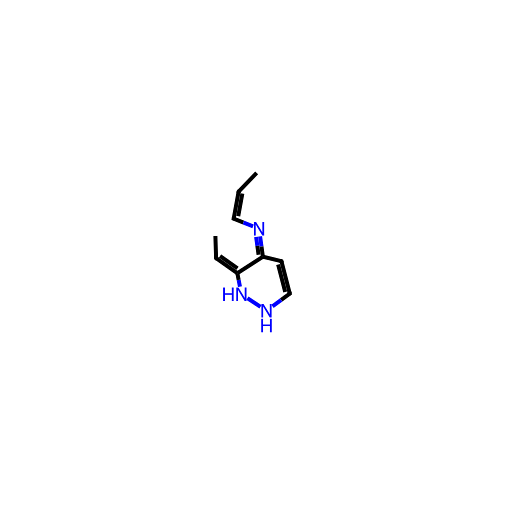 C\C=C/N=C1/C=CNN/C1=C/C